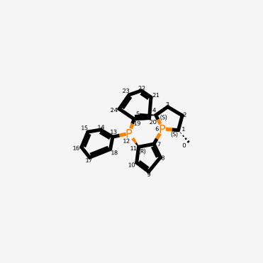 C[C@H]1CC[C@H](C)P1C1=CC=C[C@H]1P(c1ccccc1)c1ccccc1